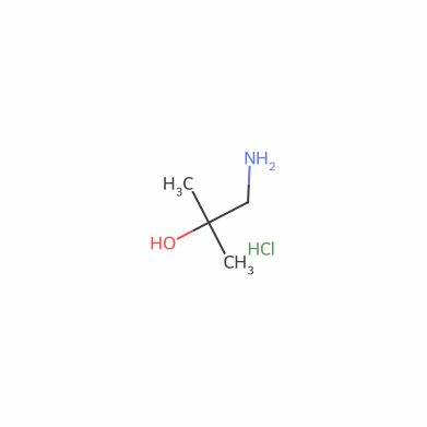 CC(C)(O)CN.Cl